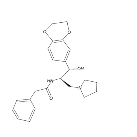 O=C(Cc1ccccc1)N[C@H](CN1CCCC1)[C@@H](O)c1ccc2c(c1)OCCO2